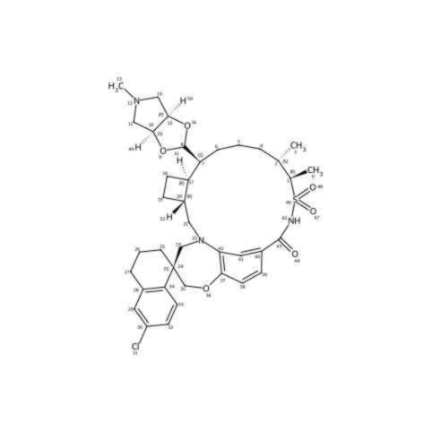 C[C@@H]1[C@@H](C)CCC[C@H](C2O[C@H]3CN(C)C[C@H]3O2)[C@@H]2CC[C@H]2CN2C[C@@]3(CCCc4cc(Cl)ccc43)COc3ccc(cc32)C(=O)NS1(=O)=O